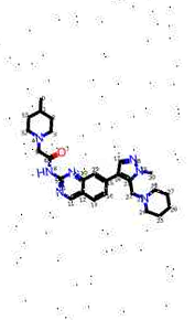 CC1CCN(CC(=O)Nc2ncc3ccc(-c4cnn(C)c4CN4CCCCC4)cc3n2)CC1